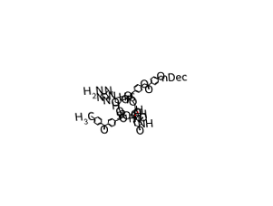 CCCCCCCCCCOc1ccc(C(=O)Oc2ccc(CSP3(=O)OC[C@H]4O[C@@H](n5ccc(=O)[nH]c5=O)[C@H](OP(=O)(SCc5ccc(C(=O)c6ccc(C)cc6)cc5)OC[C@H]5O[C@@H](n6cnc7c(N)ncnc76)C[C@@H]5O3)[C@@H]4O)cc2)cc1